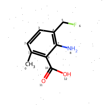 Cc1ccc(CF)c(N)c1C(=O)O